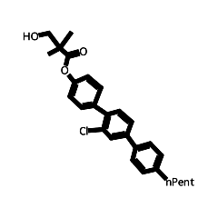 CCCCCc1ccc(-c2ccc(-c3ccc(OC(=O)C(C)(C)CO)cc3)c(Cl)c2)cc1